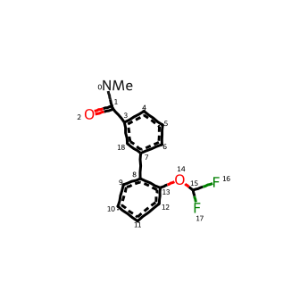 CNC(=O)c1cccc(-c2c[c]ccc2OC(F)F)c1